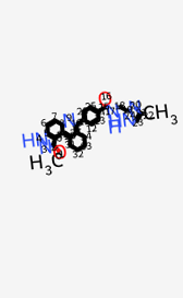 COc1n[nH]c2ccc3nc(-c4ccc(C(=O)NCc5nc(C)c[nH]5)cc4)c4c(c3c12)CCCC4